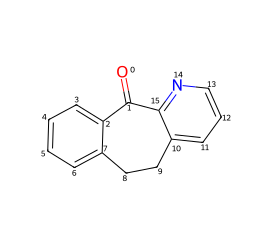 O=C1c2ccccc2CCc2cccnc21